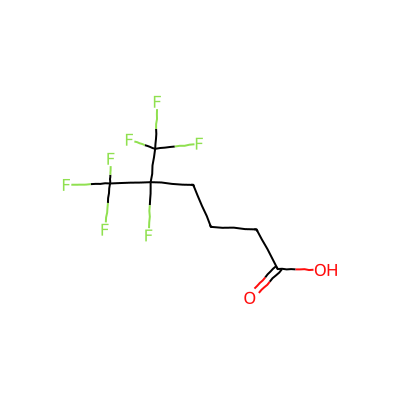 O=C(O)CCCC(F)(C(F)(F)F)C(F)(F)F